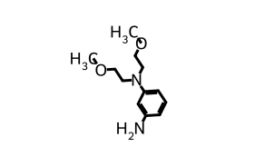 COCCN(CCOC)c1cccc(N)c1